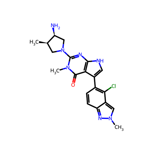 C[C@@H]1CN(c2nc3[nH]cc(-c4ccc5nn(C)cc5c4Cl)c3c(=O)n2C)C[C@@H]1N